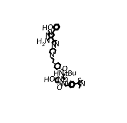 Cc1ncsc1-c1ccc(CNC(=O)[C@@H]2C[C@@H](O)CN2C(=O)[C@@H](NC(=O)[C@H]2CC[C@H](CCCN3CCC(n4cc(-c5cc(-c6ccccc6O)nnc5N)cn4)CC3)CC2)C(C)(C)C)cc1